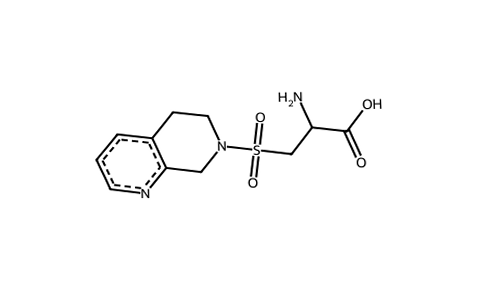 NC(CS(=O)(=O)N1CCc2cccnc2C1)C(=O)O